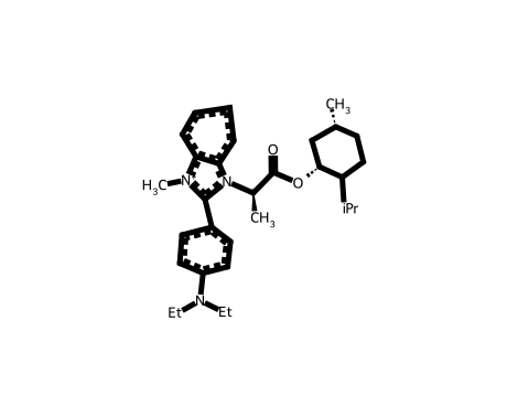 CCN(CC)c1ccc(-c2n([C@H](C)C(=O)O[C@@H]3C[C@H](C)CCC3C(C)C)c3ccccc3[n+]2C)cc1